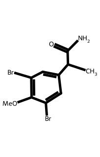 COc1c(Br)cc(C(C)C(N)=O)cc1Br